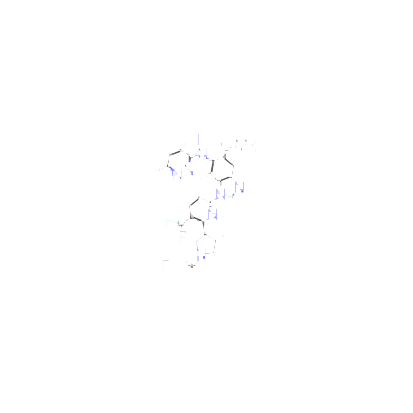 COc1cc2ncn(-c3ccc(C(F)F)c(C4CCN(CC(F)(F)F)C4)n3)c2cc1Nc1ccc(C)nn1